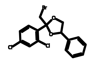 Clc1ccc(C2(CBr)OCC(c3ccccc3)O2)c(Cl)c1